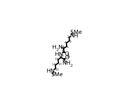 CSNCCCCC(N)C(=O)NC(CCCCNSC)C(N)=O